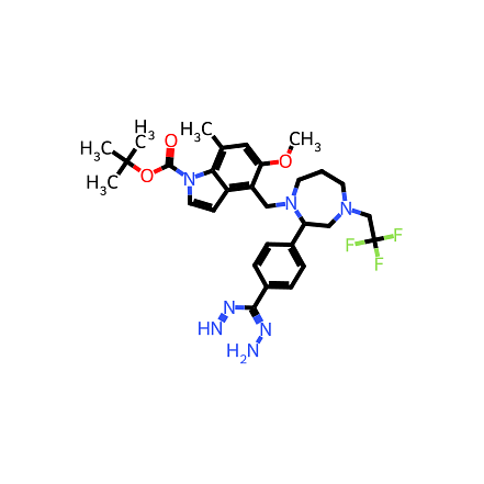 COc1cc(C)c2c(ccn2C(=O)OC(C)(C)C)c1CN1CCCN(CC(F)(F)F)CC1c1ccc(/C(N=N)=N/N)cc1